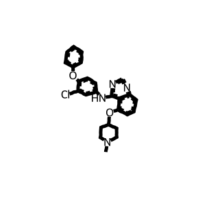 CN1CCC(Oc2cccc3ncnc(Nc4ccc(Oc5ccccc5)c(Cl)c4)c23)CC1